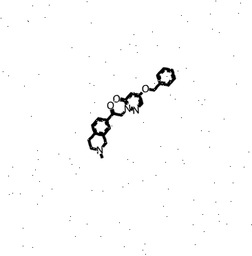 CN1CCc2ccc(C(=O)Cn3ncc(OCc4ccccc4)cc3=O)cc2C1